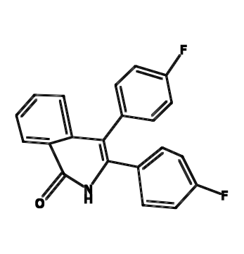 O=c1[nH]c(-c2ccc(F)cc2)c(-c2ccc(F)cc2)c2ccccc12